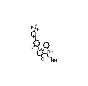 N=C/C=C(\Nc1ccccc1)c1nn(-c2ccc(N3CCC(C(F)(F)F)C3)cc2F)ccc1=O